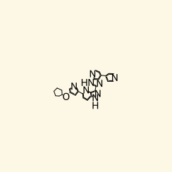 c1cc(-c2ccnc3[nH]c(-c4n[nH]c5ccc(-c6cncc(OC7CCCCC7)c6)nc45)nc23)ccn1